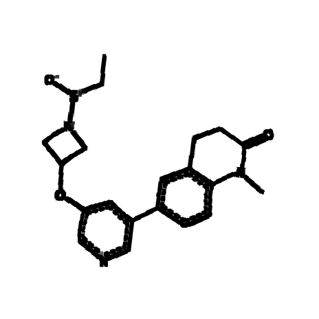 CC[S+]([O-])N1CC(Oc2cncc(-c3ccc4c(c3)CCC(=O)N4C)c2)C1